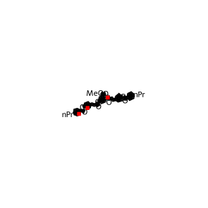 CCCc1ccc(C(=O)Oc2ccc(CCC(=O)Oc3ccc(OC(=O)CCc4ccc(OC(=O)c5ccc(CCC)cc5)cc4)c(C(=O)OC)c3)cc2)cc1